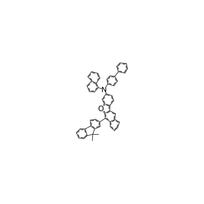 CC1(C)c2ccccc2-c2ccc(-c3c4ccccc4cc4c3oc3cc(N(c5ccc(-c6ccccc6)cc5)c5cccc6ccccc56)ccc34)cc21